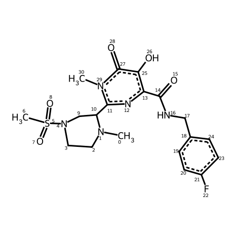 CN1CCN(S(C)(=O)=O)CC1c1nc(C(=O)NCc2ccc(F)cc2)c(O)c(=O)n1C